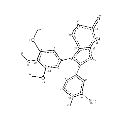 COc1cc(-c2c(-c3ccc(C)c(N)c3)oc3[nH]c(=O)ncc23)cc(OC)c1OC